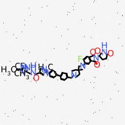 Cc1cc(-c2ccc(CN3CCC4(CC3)CN(c3cc5c(cc3F)C(=O)N(C3CCC(=O)NC3=O)C5=O)C4)cc2)ccc1-n1cc(C(=O)NCc2nc(C(C)(C)C(F)(F)F)n[nH]2)cn1